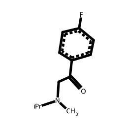 CC(C)N(C)CC(=O)c1ccc(F)cc1